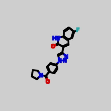 O=C(c1ccc(-n2cc(-c3cc4cc(F)ccc4[nH]c3=O)nn2)cc1)N1CCCC1